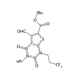 CCCn1c(=O)c2c(C=O)c(C(=O)OC(C)(C)C)sc2n(CCC(F)(F)F)c1=O